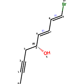 CC#CC[C@@H](O)/C=C/C=C/Br